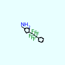 NCc1ccc(C(F)(F)C(F)(F)C(F)(F)c2ccccc2)cc1